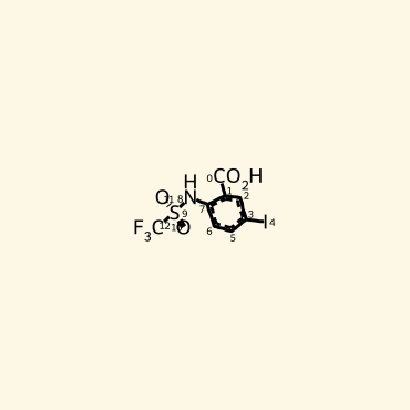 O=C(O)c1cc(I)ccc1NS(=O)(=O)C(F)(F)F